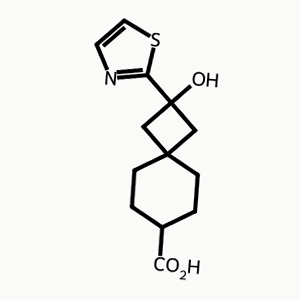 O=C(O)C1CCC2(CC1)CC(O)(c1nccs1)C2